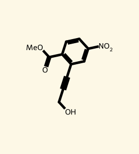 COC(=O)c1ccc([N+](=O)[O-])cc1C#CCO